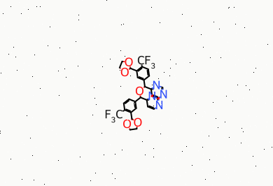 FC(F)(F)c1ccc(C(OC(c2ccc(C(F)(F)F)c(C3OCCO3)c2)c2ccncn2)c2ccncn2)cc1C1OCCO1